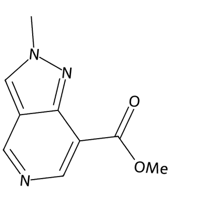 COC(=O)c1cncc2cn(C)nc12